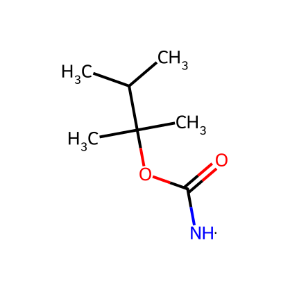 CC(C)C(C)(C)OC([NH])=O